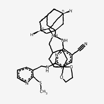 CSc1ncccc1CNc1ncc(C#N)c(NCC23CC4C[C@H](C2)C(NCC2CCC5(CC2)OCCO5)[C@@H](C4)C3)n1